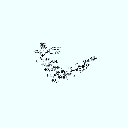 CC(C)[C@H](N)C(=O)O.CC(C)[C@H](N)C(=O)O.CC(C)[C@H](N)C(=O)O.CC(C)[C@H](N)C(=O)O.CC(C)[C@H](N)C(=O)O.CC(C)[C@H](N)C(=O)O.CC(C)[C@H](N)C(=O)O.O=C([O-])CN(CCN(CC(=O)[O-])CC(=O)[O-])CC(=O)[O-].O=P([O-])([O-])[O-].[Na+].[Na+].[Na+].[Na+].[Na+].[Na+].[Na+]